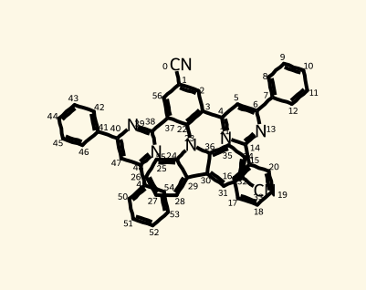 N#Cc1cc(-c2cc(-c3ccccc3)nc(-c3ccccc3)n2)c(-n2c3ccccc3c3cc(C#N)ccc32)c(-c2nc(-c3ccccc3)cc(-c3ccccc3)n2)c1